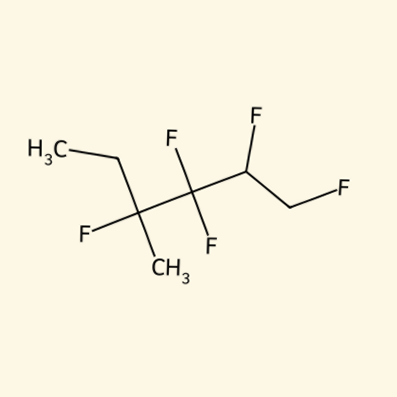 CCC(C)(F)C(F)(F)C(F)CF